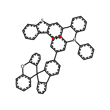 c1ccc(N(c2cccc(-c3ccc4c(c3)C3(c5ccccc5Oc5ccccc53)c3ccccc3-4)c2)c2ccccc2-c2ccc3c(c2)sc2ccccc23)cc1